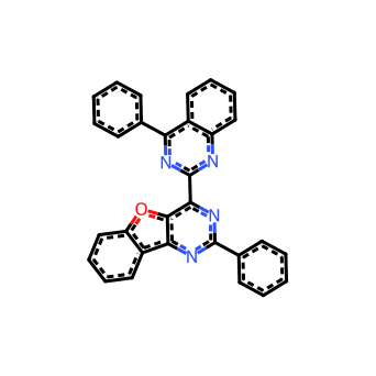 c1ccc(-c2nc(-c3nc(-c4ccccc4)c4ccccc4n3)c3oc4ccccc4c3n2)cc1